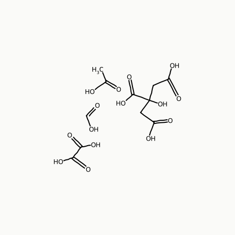 CC(=O)O.O=C(O)C(=O)O.O=C(O)CC(O)(CC(=O)O)C(=O)O.O=CO